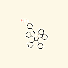 Oc1ccc(C#CS2(c3ccccc3)C(c3ccccc3)=C(c3ccccc3)C(c3ccccc3)=C2c2ccccc2)cc1